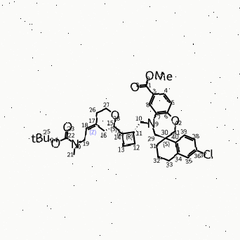 COC(=O)c1ccc2c(c1)N(C[C@@H]1CC[C@H]1[C@@H]1C/C(=C\CN(C)C(=O)OC(C)(C)C)CCO1)C[C@@]1(CCCc3cc(Cl)ccc31)CO2